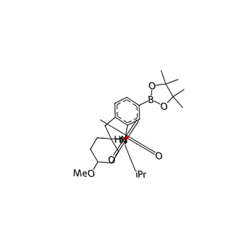 COC1CCC2(CC1)Cc1ccc(B3OC(C)(C)C(C)(C)O3)cc1C21NC(=O)N(C(C)C)C1=O